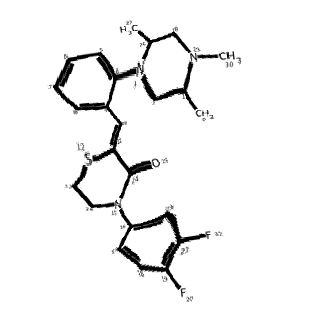 CC1CN(c2ccccc2C=C2SCCN(c3ccc(F)c(F)c3)C2=O)C(C)CN1C